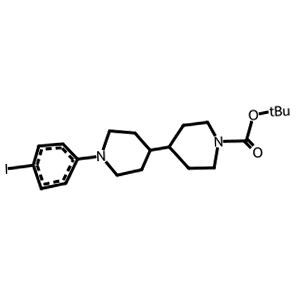 CC(C)(C)OC(=O)N1CCC(C2CCN(c3ccc(I)cc3)CC2)CC1